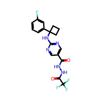 O=C(NNC(=O)C(F)(F)F)c1cnc(NC2(c3cccc(F)c3)CCC2)nc1